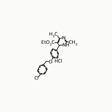 CCOC(=O)C1=C(C)N=C(C)NC1c1ccc(OCc2ccc(Cl)cc2)cc1.Cl